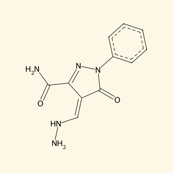 NNC=C1C(=O)N(c2ccccc2)N=C1C(N)=O